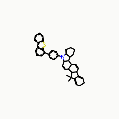 CC1(C)C2=CCCC=C2C2C=CC3C(C=CC4C3C3CCCC=C3N4c3ccc(-c4cccc5c4sc4ccccc45)cc3)C21